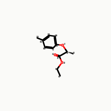 CCOC(=O)[C@@H](C)Oc1ccc(C)cc1